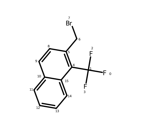 FC(F)(F)c1c(CBr)ccc2ccccc12